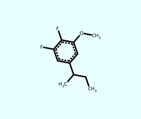 CCC(C)c1cc(F)c(F)c(OC)c1